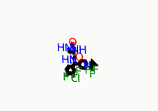 O=C1NC[C@@H](C(=O)N[C@@H](c2ccc(F)c(Cl)c2F)C2CCN(C3(C(F)(F)F)CC3)CC2)N1